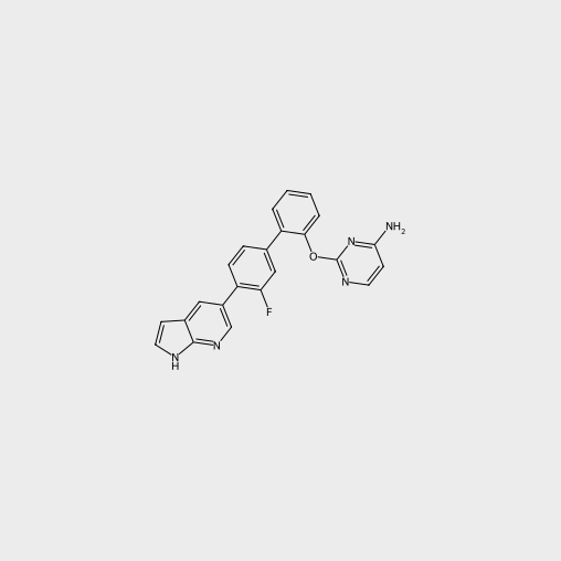 Nc1ccnc(Oc2ccccc2-c2ccc(-c3cnc4[nH]ccc4c3)c(F)c2)n1